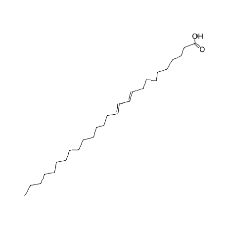 CCCCCCCCCCCCCCC=CC=CCCCCCCCCC(=O)O